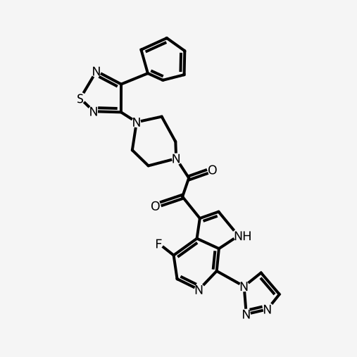 O=C(C(=O)N1CCN(c2nsnc2-c2ccccc2)CC1)c1c[nH]c2c(-n3ccnn3)ncc(F)c12